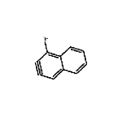 Brc1c#ccc2ccccc12